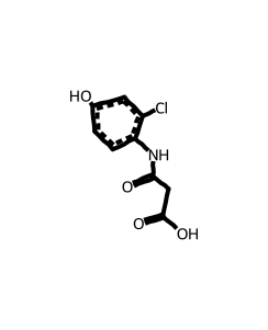 O=C(O)CC(=O)Nc1ccc(O)cc1Cl